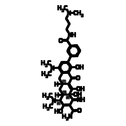 CN(C)CCCNC(=O)c1cccc(-c2cc(N(C)C)c3c(c2O)C(=O)C2=C(O)[C@]4(O)C(=N)C(C(N)=O)=C(O)[C@@H](N(C)C)[C@@H]4C[C@@H]2C3)c1